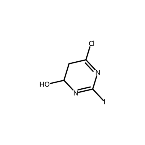 OC1CC(Cl)=NC(I)=N1